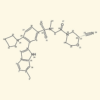 Cc1ccc2cc(-c3cc(S(=O)(=O)N(C)CC(=O)N4CCO[C@@H](C#N)C4)ccc3N3CCCC3)[nH]c2c1